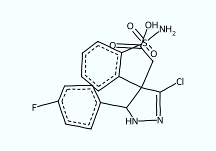 NS(=O)(=O)c1ccccc1C1(CC(=O)O)C(Cl)=NNC1c1ccc(F)cc1